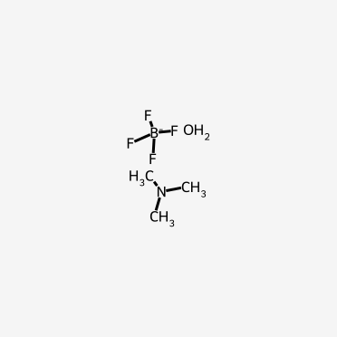 CN(C)C.F[B-](F)(F)F.O